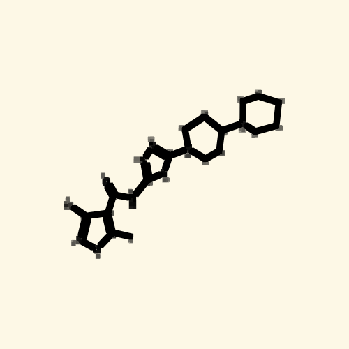 CCc1noc(C)c1C(=O)Nc1nnc(N2CCC(N3CCCCC3)CC2)s1